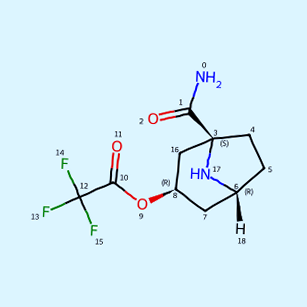 NC(=O)[C@]12CC[C@H](C[C@@H](OC(=O)C(F)(F)F)C1)N2